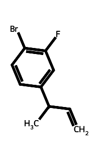 C=C[C](C)c1ccc(Br)c(F)c1